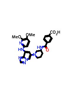 COc1ccc(Nc2cc(N3CCCC(NC(=O)c4ccc(C(=O)O)cc4)C3)cn3ncnc23)nc1OC